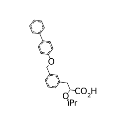 CC(C)OC(Cc1cccc(COc2ccc(-c3ccccc3)cc2)c1)C(=O)O